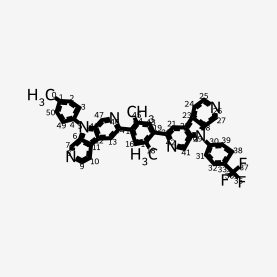 Cc1ccc(-n2c3cnccc3c3cc(-c4cc(C)c(-c5cc6c7ccncc7n(-c7ccc(C(F)(F)F)cc7)c6cn5)cc4C)ncc32)cc1